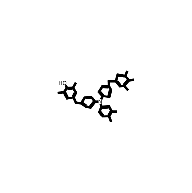 Cc1ccc(N(c2ccc(Cc3cc(C)c(C)c(C)c3)cc2)c2ccc(Cc3cc(C)c(O)c(C)c3)cc2)cc1C